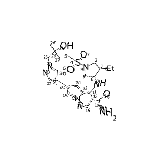 CC[C@@H]1CN(S(C)(=O)=O)C[C@H]1Nc1c(C(N)=O)cnn2cc(-c3cnn(CC(C)(C)O)c3)cc12